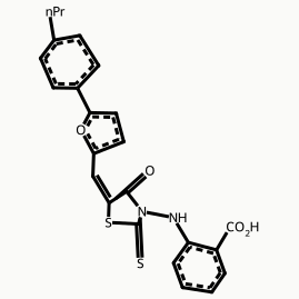 CCCc1ccc(-c2ccc(/C=C3/SC(=S)N(Nc4ccccc4C(=O)O)C3=O)o2)cc1